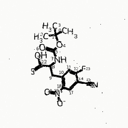 CC(C)(C)OC(=O)NC(Cc1cc(F)c(C#N)cc1[N+](=O)[O-])C(O)=S